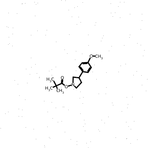 COc1ccc(C2CCN(OC(=O)C(C)(C)C)C2)cc1